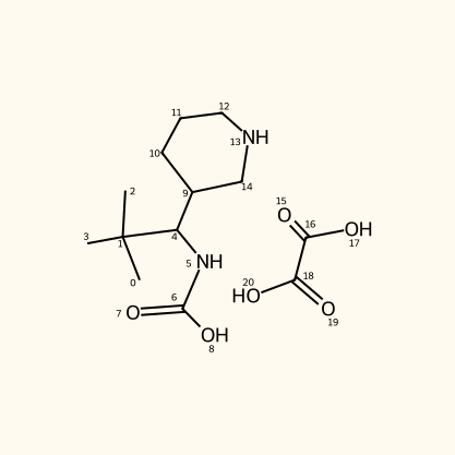 CC(C)(C)C(NC(=O)O)C1CCCNC1.O=C(O)C(=O)O